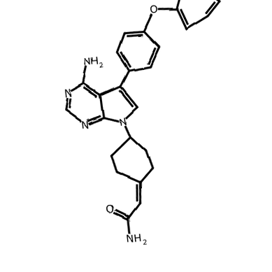 NC(=O)C=C1CCC(n2cc(-c3ccc(Oc4ccccc4)cc3)c3c(N)ncnc32)CC1